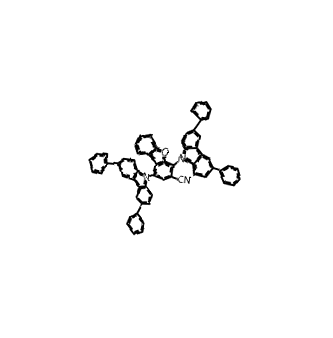 N#Cc1cc(-n2c3ccc(-c4ccccc4)cc3c3cc(-c4ccccc4)ccc32)c2c(oc3ccccc32)c1-n1c2ccc(-c3ccccc3)cc2c2cc(-c3ccccc3)ccc21